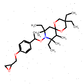 CCC1(CC)COC2(CC(C)(CC)N(OC(C)c3ccc(OCC4CO4)cc3)C(C)(CC)C2C)OC1